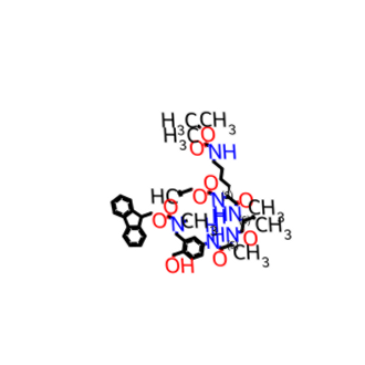 C#CCOC(=O)N[C@@H](CCCCNC(=O)OC(C)(C)C)C(=O)N[C@H](C(=O)N[C@@H](C)C(=O)Nc1ccc(CO)c(CN(C)C(=O)OCC2c3ccccc3-c3ccccc32)c1)C(C)C